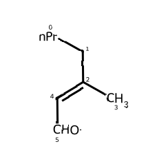 CCCCC(C)=C[C]=O